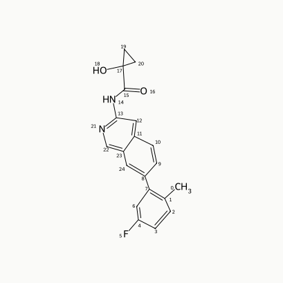 Cc1ccc(F)cc1-c1ccc2cc(NC(=O)C3(O)CC3)ncc2c1